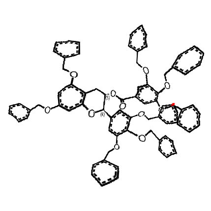 O=C(O[C@H]1Cc2c(OCc3ccccc3)cc(OCc3ccccc3)cc2O[C@@H]1c1cc(OCc2ccccc2)c(OCc2ccccc2)c(OCc2ccccc2)c1)c1cc(OCc2ccccc2)c(OCc2ccccc2)c(OCc2ccccc2)c1